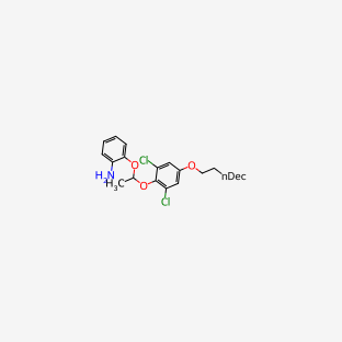 CCCCCCCCCCCCOc1cc(Cl)c(OC(C)Oc2ccccc2N)c(Cl)c1